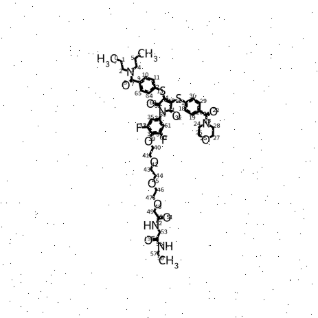 CCCN(CCC)C(=O)c1ccc(SC2=C(Sc3ccc(C(=O)N4CCOCC4)cc3)C(=O)N(c3cc(F)c(OCCOCCOCCOCC(=O)NCC(=O)NCC)c(F)c3)C2=O)cc1